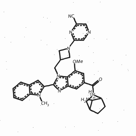 COc1cc(C(=O)N2CC3CCC2[C@@H]3N)cc2nc(-c3cc4ccccc4n3C)n(CC3CN(c4cncc(C#N)n4)C3)c12